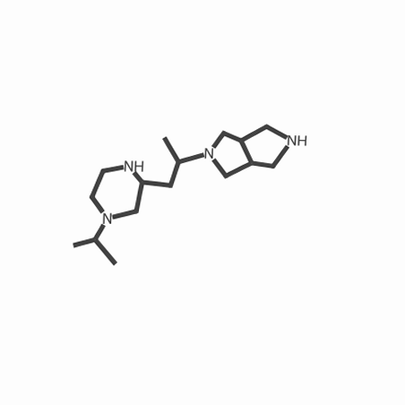 CC(C)N1CCNC(CC(C)N2CC3CNCC3C2)C1